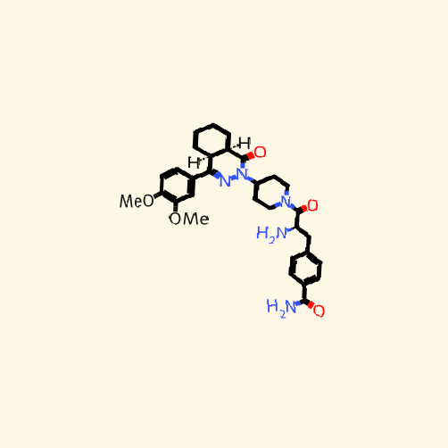 COc1ccc(C2=NN(C3CCN(C(=O)[C@H](N)Cc4ccc(C(N)=O)cc4)CC3)C(=O)[C@@H]3CCCC[C@H]23)cc1OC